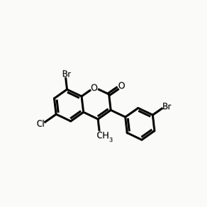 Cc1c(-c2cccc(Br)c2)c(=O)oc2c(Br)cc(Cl)cc12